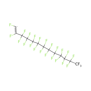 F/[C]=C(\F)C(F)(F)C(F)(F)C(F)(F)C(F)(F)C(F)(F)C(F)(F)C(F)(F)C(F)(F)C(F)(F)C(F)(F)C(F)(F)F